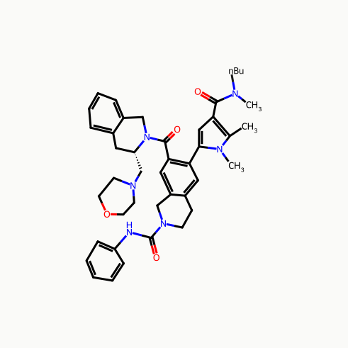 CCCCN(C)C(=O)c1cc(-c2cc3c(cc2C(=O)N2Cc4ccccc4C[C@H]2CN2CCOCC2)CN(C(=O)Nc2ccccc2)CC3)n(C)c1C